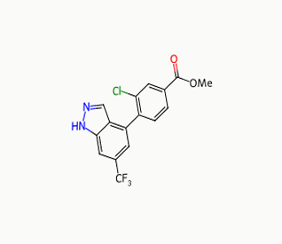 COC(=O)c1ccc(-c2cc(C(F)(F)F)cc3[nH]ncc23)c(Cl)c1